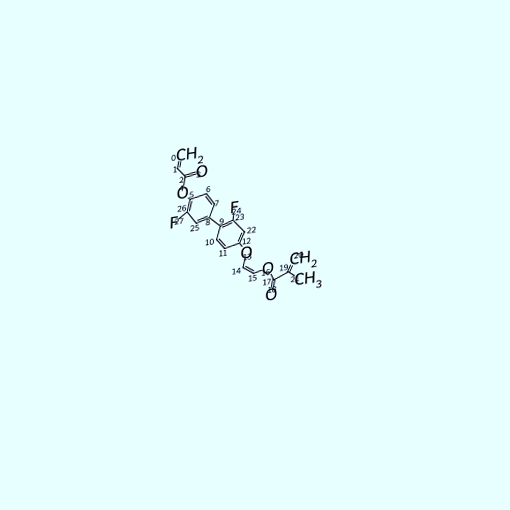 C=CC(=O)Oc1ccc(-c2ccc(O/C=C\OC(=O)C(=C)C)cc2F)cc1F